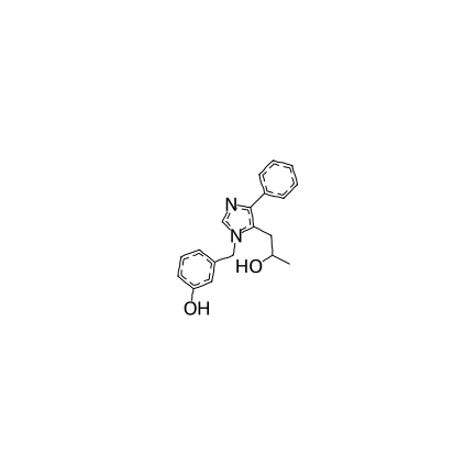 CC(O)Cc1c(-c2ccccc2)ncn1Cc1cccc(O)c1